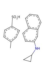 Cc1ccc(S(=O)(=O)O)cc1.c1ccc2cc(NC3CC3)ccc2c1